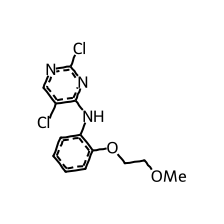 COCCOc1ccccc1Nc1nc(Cl)ncc1Cl